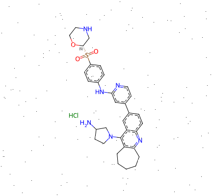 Cl.NC1CCN(c2c3c(nc4ccc(-c5ccnc(Nc6ccc(S(=O)(=O)[C@H]7CNCCO7)cc6)c5)cc24)CCCCC3)C1